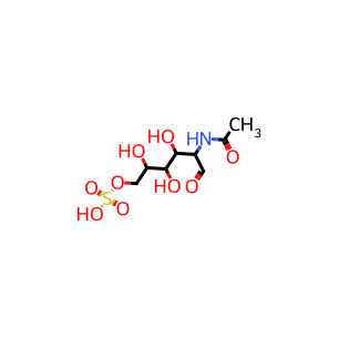 CC(=O)NC(C=O)C(O)C(O)C(O)COS(=O)(=O)O